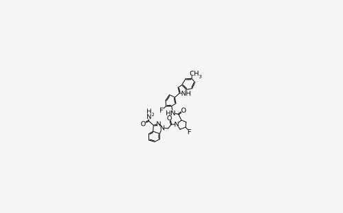 Cc1ccc2[nH]c(-c3ccc(F)c(NC(=O)C4CC(F)CN4C(=O)Cn4nc(C(N)=O)c5ccccc54)c3)cc2c1